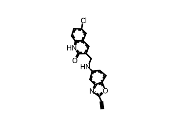 C#Cc1nc2cc(NCc3cc4cc(Cl)ccc4[nH]c3=O)ccc2o1